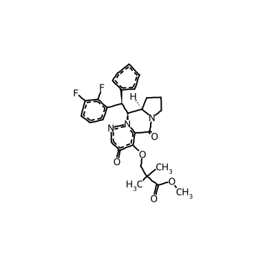 COC(=O)C(C)(C)COc1c2n(ncc1=O)[C@@H]([C@H](c1ccccc1)c1cccc(F)c1F)[C@H]1CCCN1C2=O